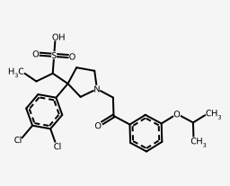 CCC(C1(c2ccc(Cl)c(Cl)c2)CCN(CC(=O)c2cccc(OC(C)C)c2)C1)S(=O)(=O)O